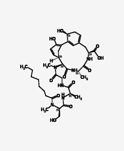 CCCCCCCC(=O)N(C)[C@H](CO)C(=O)N[C@H](C)C(=O)NCC(=O)N(C)[C@@H]1C(=O)N[C@@H](C)C(=O)N[C@H](C(=O)O)CC2=CC[C@H](O)C(=C2)C2=C(O)C=C[C@H]1C2